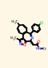 CCNC(=O)/C=C1\N=C(c2ccc(Cl)cc2)C2=C(C=CC(C)C=C2)c2c(C)noc21